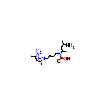 CC(N)CC(C)NCCCCN(C(=O)O)C(C)CC(C)N